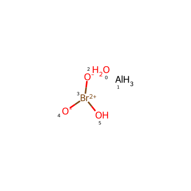 O.[AlH3].[O-][Br+2]([O-])O